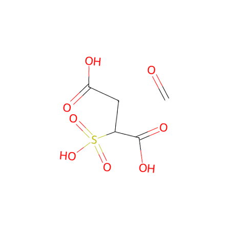 C=O.O=C(O)CC(C(=O)O)S(=O)(=O)O